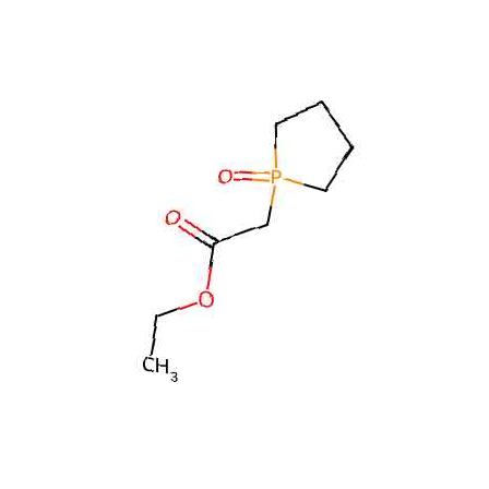 CCOC(=O)CP1(=O)CCCC1